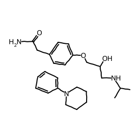 CC(C)NCC(O)COc1ccc(CC(N)=O)cc1.c1ccc(N2CCCCC2)cc1